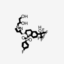 O=S(=O)(c1ccc(F)cc1)N1c2ccc(C(O)(C(F)(F)F)C(F)(F)F)cc2CC[C@H]1Cc1ccn(CC(O)CO)n1